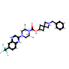 C[C@@H]1CN(c2cnc3cc(C(F)(F)F)ccc3n2)C[C@H](C)N1C(=O)OC1CC2(C1)CN(Cc1ccccc1)C2